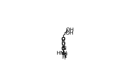 OCC(O)CCCc1ccc(N2CCN(c3ccc(-c4nc(C(F)(F)F)c[nH]4)cn3)CC2)cc1